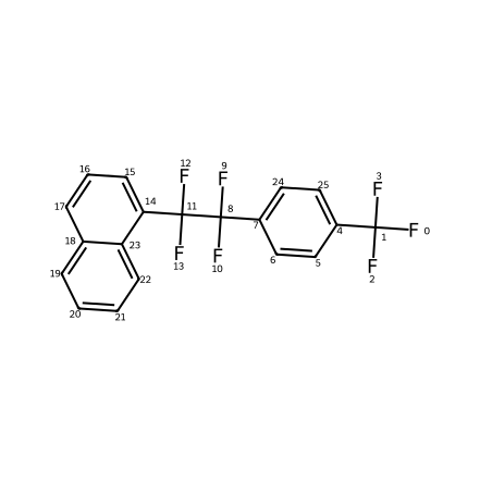 FC(F)(F)c1ccc(C(F)(F)C(F)(F)c2cccc3ccccc23)cc1